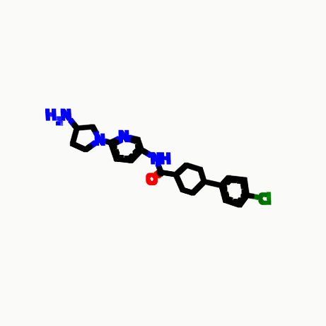 NC1CCN(c2ccc(NC(=O)C3CCC(c4ccc(Cl)cc4)CC3)cn2)C1